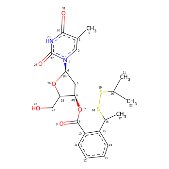 Cc1cn([C@H]2C[C@@H](OC(=O)c3ccccc3C(C)SSC(C)C)C(CO)O2)c(=O)[nH]c1=O